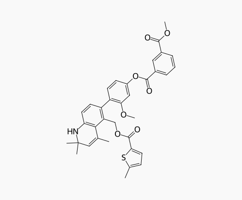 COC(=O)c1cccc(C(=O)Oc2ccc(-c3ccc4c(c3COC(=O)c3ccc(C)s3)C(C)=CC(C)(C)N4)c(OC)c2)c1